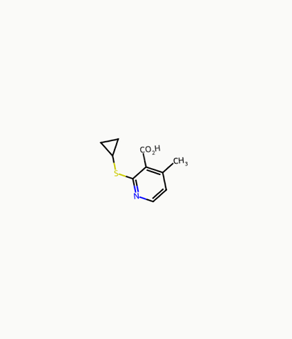 Cc1ccnc(SC2CC2)c1C(=O)O